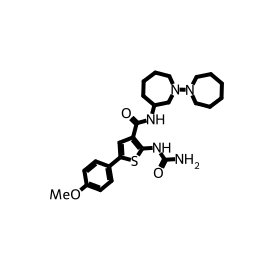 COc1ccc(-c2cc(C(=O)NC3CCCCN(N4CCCCCC4)C3)c(NC(N)=O)s2)cc1